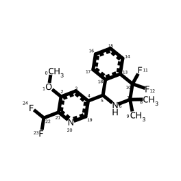 COc1cc(C2NC(C)(C)C(F)(F)c3ccccc32)cnc1C(F)F